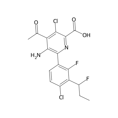 CCC(F)c1c(Cl)ccc(-c2nc(C(=O)O)c(Cl)c(C(C)=O)c2N)c1F